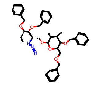 CC[C@@H](OCc1ccccc1)[C@@H](OCc1ccccc1)[C@H](COC1OC(COCc2ccccc2)C(OCc2ccccc2)C(C)C1C)N=[N+]=[N-]